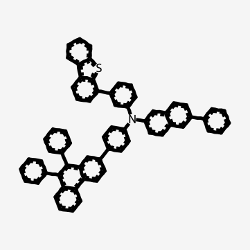 c1ccc(-c2ccc3cc(N(c4ccc(-c5ccc6c(c5)c(-c5ccccc5)c(-c5ccccc5)c5ccccc56)cc4)c4cccc(-c5cccc6c5sc5ccccc56)c4)ccc3c2)cc1